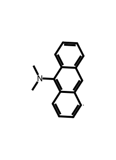 CN(C)c1c2ccc[c]c2cc2ccccc12